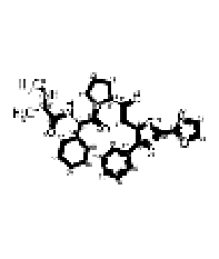 CN[C@@H](C)C(=O)N[C@H](C(=O)N1CCC[C@H]1C(=O)Cc1sc(-c2ncco2)nc1-c1ccccc1)C1CCCCC1